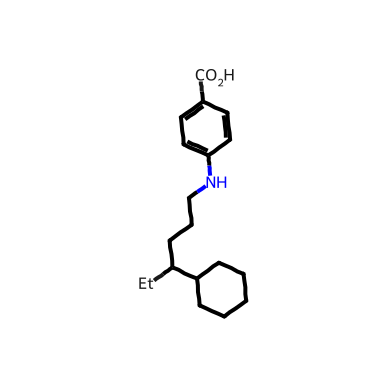 CCC(CCCNc1ccc(C(=O)O)cc1)C1CCCCC1